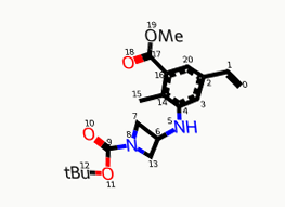 C=Cc1cc(NC2CN(C(=O)OC(C)(C)C)C2)c(C)c(C(=O)OC)c1